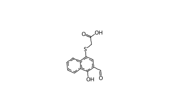 O=Cc1cc(SCC(=O)O)c2ccccc2c1O